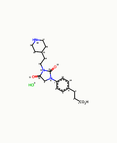 Cl.O=C(O)CCc1ccc(N2CC(=O)N(CCC3CCNCC3)C2=O)cc1